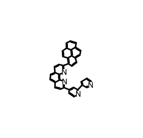 c1cncc(-c2cc(-c3ccc4ccc5ccc(-c6ccc7ccc8cccc9ccc6c7c89)nc5c4n3)ccn2)c1